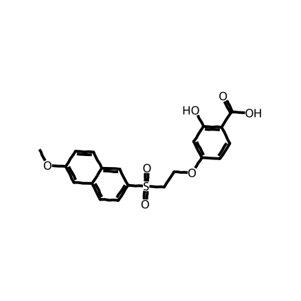 COc1ccc2cc(S(=O)(=O)CCOc3ccc(C(=O)O)c(O)c3)ccc2c1